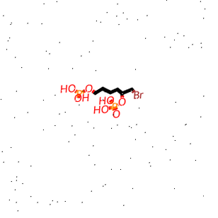 O=P(O)(O)OC(CBr)CCCCOP(O)O